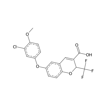 COc1ccc(Oc2ccc3c(c2)C=C(C(=O)O)C(C(F)(F)F)O3)cc1Cl